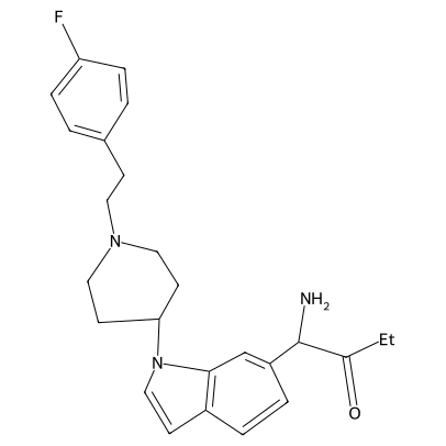 CCC(=O)C(N)c1ccc2ccn(C3CCN(CCc4ccc(F)cc4)CC3)c2c1